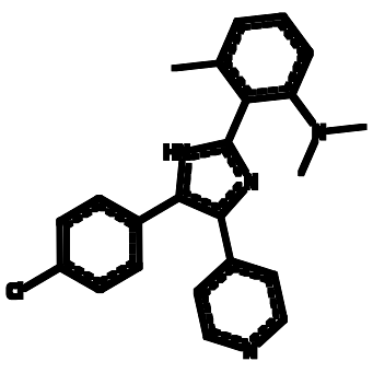 Cc1cccc(N(C)C)c1-c1nc(-c2ccncc2)c(-c2ccc(Cl)cc2)[nH]1